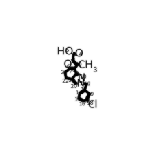 Cc1c(C(=O)O)oc2c1-c1nn(Cc3cccc(Cl)c3)cc1CC2